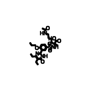 CCCOc1ccc(S(=O)(=O)NC(C)(CCCCNC(C)=O)C(=O)O)cc1-c1nc(CC)c(CC)c(=O)[nH]1